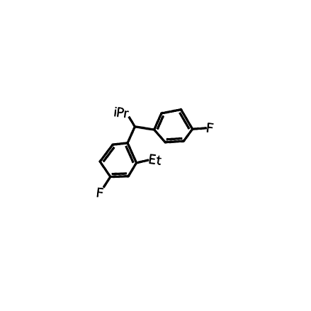 CCc1cc(F)ccc1C(c1ccc(F)cc1)C(C)C